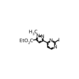 CCOC(=O)c1cc(-c2ccnc(I)n2)nn1C